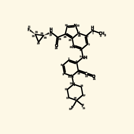 CNc1cc(NC2=CC=CN(N3CCC(F)(F)CC3)C2=C=O)nc2c(C(=O)N[C@@H]3C[C@@H]3F)cnn12